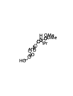 COc1ccc(-c2[nH]c3ccc(C4CCN(C(=O)CN5CCCC(C(=O)N6CCC(CCO)CC6)C5)CC4)cc3c2C(C)C)cc1OC